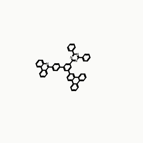 c1ccc(-c2nc(-c3ccccc3)nc(-c3cc(-c4ccc(-c5nc6ccccc6c6ccccc56)cc4)cc(-c4ccc5c6ccccc6c6ccccc6c5c4)c3)n2)cc1